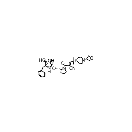 CC(C)(/C=C(\C#N)C(=O)N1CCC[C@@H]1COC(=O)N[C@@H](Cc1ccccc1)B(O)O)N1CCN(C2COC2)CC1